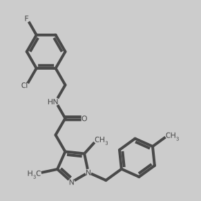 Cc1ccc(Cn2nc(C)c(CC(=O)NCc3ccc(F)cc3Cl)c2C)cc1